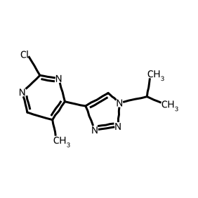 Cc1cnc(Cl)nc1-c1cn(C(C)C)nn1